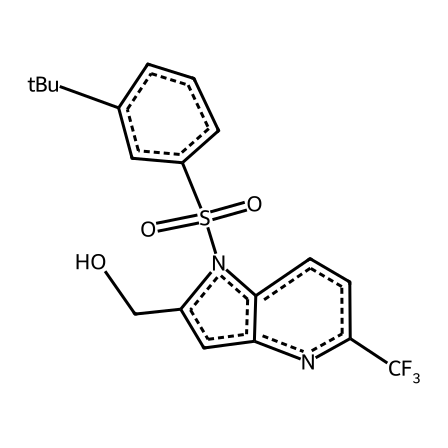 CC(C)(C)c1cccc(S(=O)(=O)n2c(CO)cc3nc(C(F)(F)F)ccc32)c1